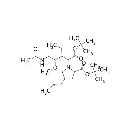 CC=CC1CC(C(=O)OC(C)(C)C)N([C@@H](C(=O)OC(C)(C)C)[C@@H](CC)C(CNC(C)=O)OC)C1